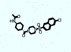 CC(=O)N[C@H]1CC[C@H](C(=O)N2CCN(S(=O)(=O)c3ccc4cc(Cl)ccc4c3)CC2)CC1